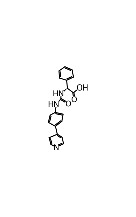 O=C(Nc1ccc(-c2ccncc2)cc1)N[C@H](C(=O)O)c1ccccc1